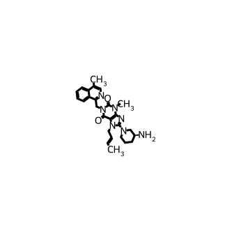 C/C=C/Cn1c(N2CCC[C@H](N)C2)nc2c1c(=O)n(Cc1ncc(C)c3ccccc13)c(=O)n2C